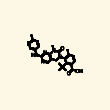 Cc1ccc(Nc2ncc3c(n2)N(C)C(=O)N(c2c(C)ccc(C(=O)O)c2C(C)(C)C)C3)cn1